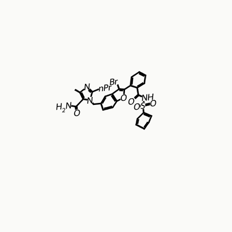 CCCc1nc(C)c(C(N)=O)n1Cc1ccc2oc(-c3ccccc3C(=O)NS(=O)(=O)c3ccccc3)c(Br)c2c1